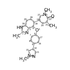 Cc1nc2c(Oc3ccc(-c4cnn(C)c4)cc3)c(-c3cc(C)c(=O)n(C)c3)ccc2[nH]1